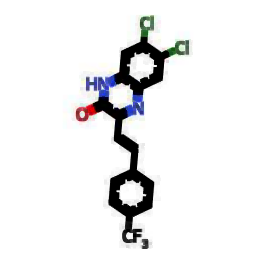 O=c1[nH]c2cc(Cl)c(Cl)cc2nc1C=Cc1ccc(C(F)(F)F)cc1